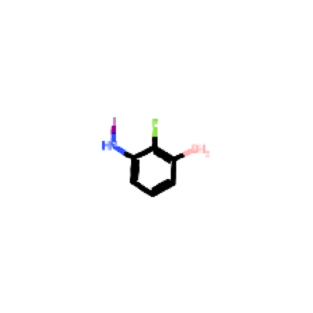 Bc1cccc(NI)c1F